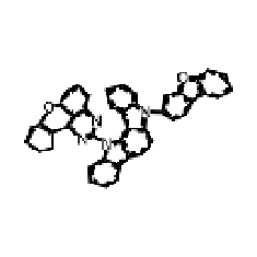 C1=CC2=C(CC1)c1nc(-n3c4ccccc4c4ccc5c(c6ccccc6n5-c5ccc6c(c5)oc5ccccc56)c43)nc3cccc(c13)O2